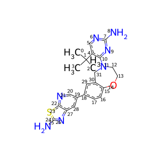 CC(C)(C)c1cnc(N)nc1N1CCOc2ccc(-c3cnc4sc(N)nc4c3)cc2C1